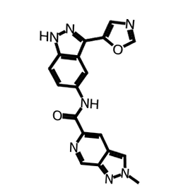 Cn1cc2cc(C(=O)Nc3ccc4[nH]nc(-c5cnco5)c4c3)ncc2n1